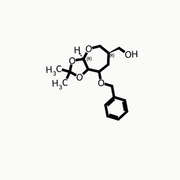 CC1(C)OC2C(OCc3ccccc3)C[C@H](CO)CO[C@@H]2O1